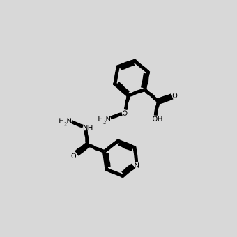 NNC(=O)c1ccncc1.NOc1ccccc1C(=O)O